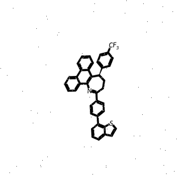 FC(F)(F)c1ccc([C@H]2CCC(c3ccc(-c4cccc5ccsc45)cc3)=Nc3c2c2ccccc2c2ccccc32)cc1